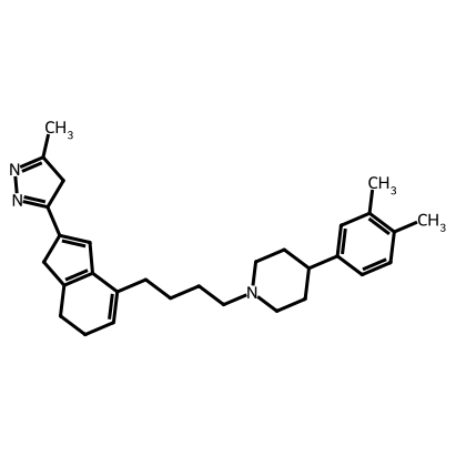 CC1=NN=C(C2=CC3=C(CCC=C3CCCCN3CCC(c4ccc(C)c(C)c4)CC3)C2)C1